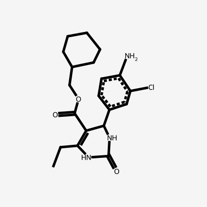 CCC1=C(C(=O)OCC2CCCCC2)C(c2ccc(N)c(Cl)c2)NC(=O)N1